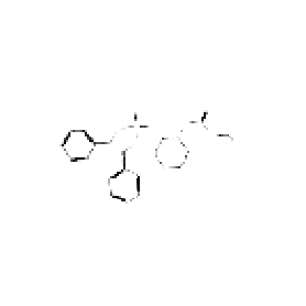 O=C(OCCl)O[C@H]1CCCC[C@@H]1OP(=O)(OCc1ccccc1)OCc1ccccc1